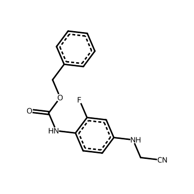 N#CCNc1ccc(NC(=O)OCc2ccccc2)c(F)c1